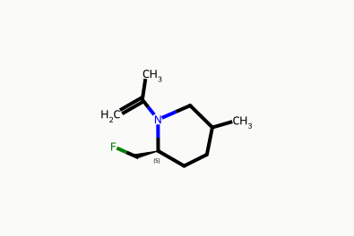 C=C(C)N1CC(C)CC[C@H]1CF